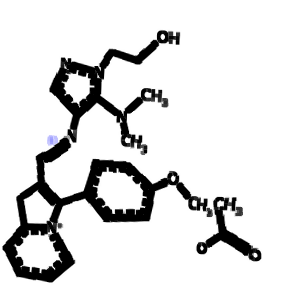 CC(=O)[O-].COc1ccc(C2=C(/C=N/c3cnn(CCO)c3N(C)C)Cc3cccc[n+]32)cc1